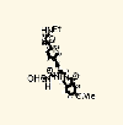 CCNc1nnc(-c2ccc(C#C[C@H](CN3Cc4ccc(OC)cc4C3=O)NC(=O)NC=O)cn2)o1